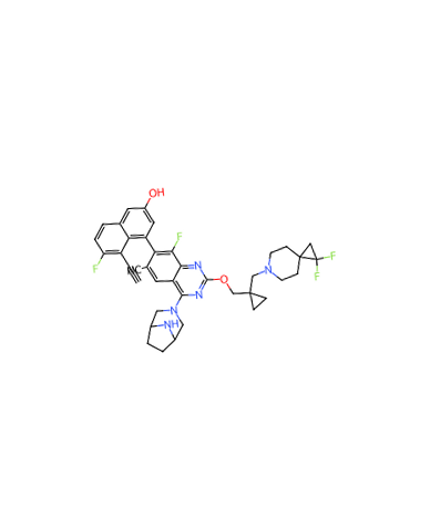 C#Cc1c(F)ccc2cc(O)cc(-c3c(C#N)cc4c(N5CC6CCC(C5)N6)nc(OCC5(CN6CCC7(CC6)CC7(F)F)CC5)nc4c3F)c12